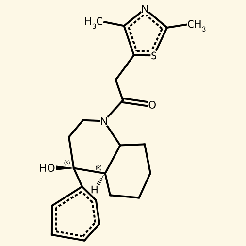 Cc1nc(C)c(CC(=O)N2CC[C@@](O)(c3ccccc3)[C@@H]3CCCCC32)s1